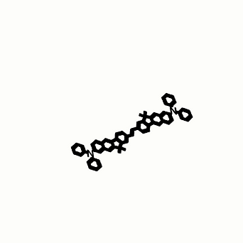 CC1(C)c2cc(/C=C/c3ccc4c(c3)C(C)(C)c3cc5cc(N(c6ccccc6)c6ccccc6)ccc5cc3-4)ccc2-c2cc3ccc(N(c4ccccc4)c4ccccc4)cc3cc21